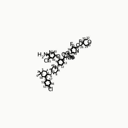 CC1(C)CCC(CN2CCN(c3ccc(C(=O)NS(=O)(=O)c4cnc(OCC5(F)CCOCC5)c(F)c4)c(Oc4cnc(N)c(Cl)c4)c3)CC2)=C(c2ccc(Cl)cc2)C1